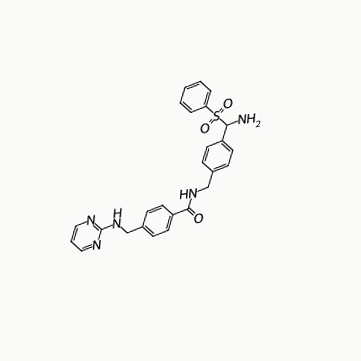 NC(c1ccc(CNC(=O)c2ccc(CNc3ncccn3)cc2)cc1)S(=O)(=O)c1ccccc1